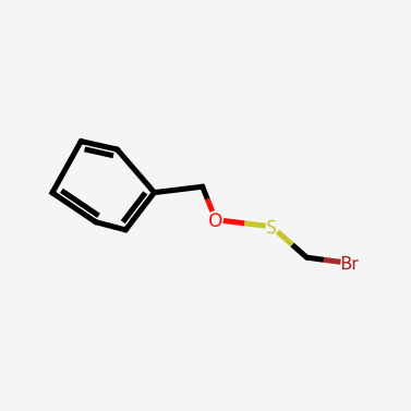 BrCSOCc1ccccc1